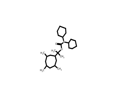 CC1CC(C)CC(C(C)(C)OC(=O)N(C2CCCCC2)C2CCCCC2)CC(C)C1